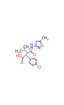 Cc1cc(NC(=O)C(C(C)C)C(C(=O)O)c2ccc(Cl)cc2)no1